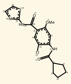 COc1cc(NC(=O)C2CCCC2)c(Cl)cc1C(=O)Nc1nccs1